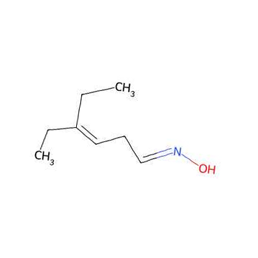 CCC(=CCC=NO)CC